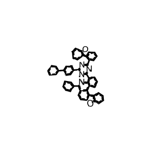 c1ccc(-c2ccc(-c3nc(-c4cccc5c4nc(-c4ccccc4)c4ccc6oc7ccccc7c6c45)nc(-c4cccc5oc6ccccc6c45)n3)cc2)cc1